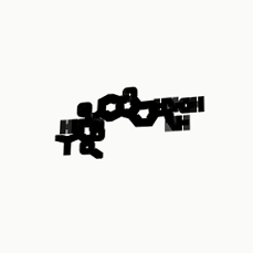 COC(=O)C(NS(=O)(=O)c1ccc2oc3cc(C(=N)NO)ccc3c2c1)C(C)C